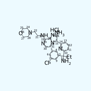 CCC(N)(c1cccc(Cl)c1)c1cccc(-c2cnc3c(NCCN4CCOCC4)nccn23)n1.Cl.N